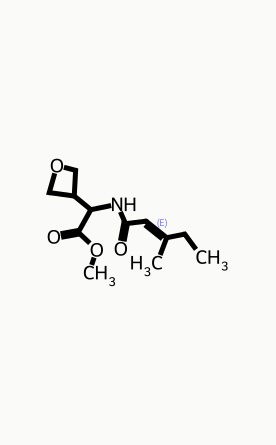 CC/C(C)=C/C(=O)NC(C(=O)OC)C1COC1